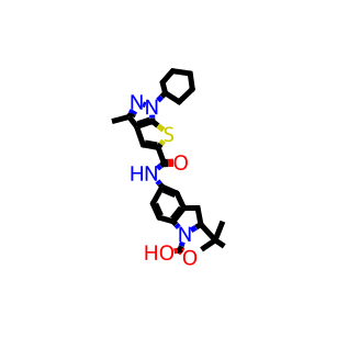 Cc1nn(C2CCCCC2)c2sc(C(=O)Nc3ccc4c(c3)CC(C(C)(C)C)N4C(=O)O)cc12